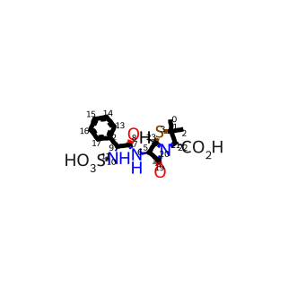 CC1(C)S[C@@H]2[C@H](NC(=O)[C@H](NS(=O)(=O)O)c3ccccc3)C(=O)N2[C@H]1C(=O)O